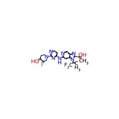 C[C@H](O)c1nc2cnc(Nc3ccnc(N4CC[C@H](O)[C@H](F)C4)n3)cc2n1[C@H](C)C(F)(F)F